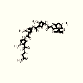 C[C@H]1CC2=C(CC(C(=O)Nc3cc(C(=O)Nc4cc(C(=O)Nc5cc(C(=O)NCCC(N)=O)n(C)c5)n(C)c4)n(C)c3)S2)C23C(=O)C2=CN=C13